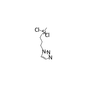 C[Si](Cl)(Cl)CCCn1ccnn1